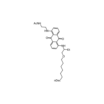 CCCCCCCCCCCCCCCCOCC(CC)Nc1cccc2c1C(=O)c1cccc(NCCNC(C)=O)c1C2=O